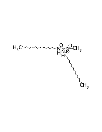 CCCCCCCCCCCCCCCCCCNC(=O)C(COC(=O)CC)NC(=O)CCCCCCCCCCCCCCCCC